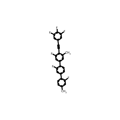 Cc1ccc(-c2ccc(-c3cc(C)c(C#Cc4cc(F)c(F)c(F)c4)c(F)c3)c(F)c2)c(F)c1